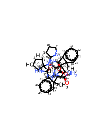 CC1CCCC1(C)N(C1CCCN1[C@]1(C(=O)NC(=O)O)c2ccc(cc2)CC1(C)CC(N)=O)C1CCCN1[C@]1(C(=O)NC(=O)O)c2ccc(cc2)CC1(C)CC(N)=O